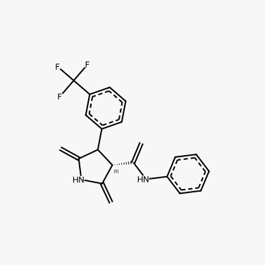 C=C1NC(=C)[C@@H](C(=C)Nc2ccccc2)C1c1cccc(C(F)(F)F)c1